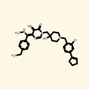 CN/C(=C1/N=CN(CC2(O)CCN(Cc3ccc(C4=CCCC4)cc3Cl)CC2)C(=O)C1=N)c1ccc(CN)cc1